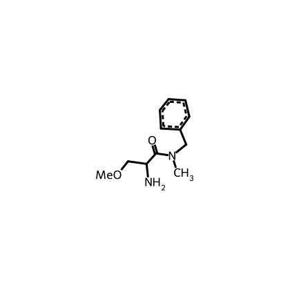 COCC(N)C(=O)N(C)Cc1ccccc1